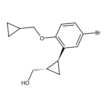 OC[C@H]1C[C@@H]1c1cc(Br)ccc1OCC1CC1